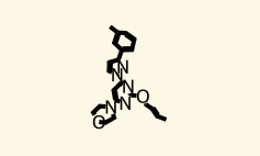 C/C=C/COc1nc(N2CCOCC2)cc(-n2ccc(-c3cccc(C)c3)n2)n1